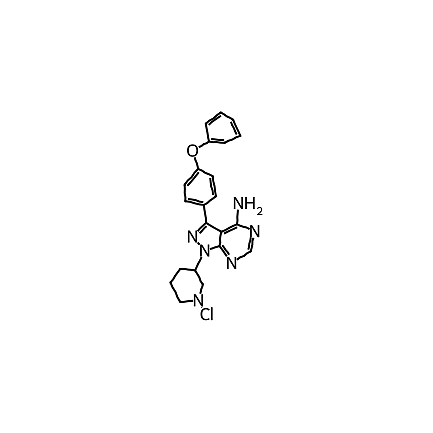 Nc1ncnc2c1c(-c1ccc(Oc3ccccc3)cc1)nn2C1CCCN(Cl)C1